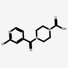 O=C(O)N1CCN(C(=O)c2ccnc(Cl)c2)CC1